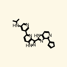 CC(C)Nc1cncc(-c2ccc3[nH]nc(-c4nc5c(C6=CCC=C6)nccc5[nH]4)c3n2)c1